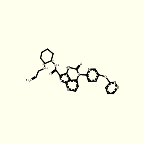 C=CCN[C@H]1CCCC[C@H]1NC(=O)c1sc2nccc3c2c1NC(=O)N3c1ccc(Oc2cccnn2)cn1